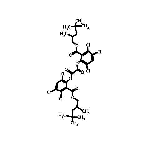 CC(COC(=O)c1c(Cl)c(Cl)cc(Cl)c1OC(=O)C(=O)Oc1c(Cl)cc(Cl)c(Cl)c1C(=O)OCC(C)CC(C)(C)C)CC(C)(C)C